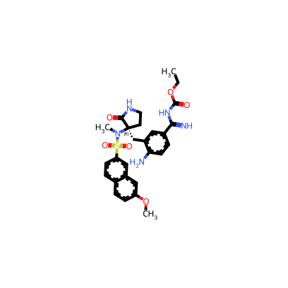 CCOC(=O)NC(=N)c1ccc(N)c(C[C@@]2(N(C)S(=O)(=O)c3ccc4ccc(OC)cc4c3)CCNC2=O)c1